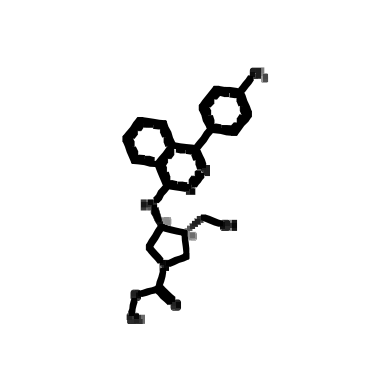 CC(C)(C)OC(=O)N1C[C@@H](CO)[C@H](Nc2nnc(-c3ccc(C(F)(F)F)cc3)c3ccccc23)C1